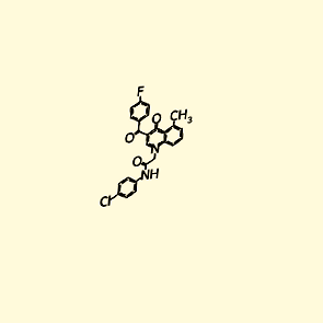 Cc1cccc2c1c(=O)c(C(=O)c1ccc(F)cc1)cn2CC(=O)Nc1ccc(Cl)cc1